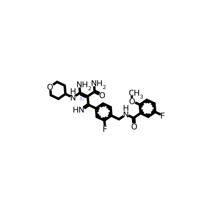 COc1ccc(F)cc1C(=O)NCc1ccc(C(=N)/C(C(N)=O)=C(/N)NC2CCOCC2)cc1F